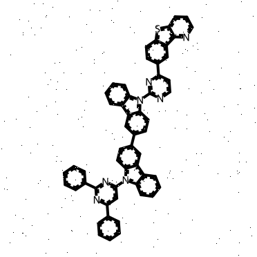 c1ccc(-c2cc(-n3c4ccccc4c4cc(-c5ccc6c(c5)c5ccccc5n6-c5nccc(-c6ccc7sc8cccnc8c7c6)n5)ccc43)nc(-c3ccccc3)n2)cc1